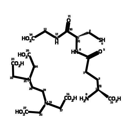 N[C@@H](CCC(=O)N[C@@H](CS)C(=O)NCC(=O)O)C(=O)O.O=C(O)CN(CCN(CC(=O)O)CC(=O)O)CC(=O)O